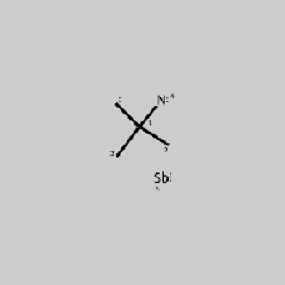 CC(C)(C)[N].[Sb]